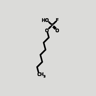 CCCCCCCOP(=O)(O)F